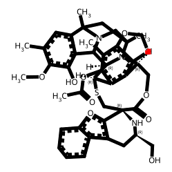 COc1c(C)cc2c(c1O)C1[C@@H]3[C@@H]4SC[C@]5(N[C@@H](CO)Cc6c5oc5ccccc65)C(=O)OC[C@@H](c5c6c(c(C)c(OC(C)=O)c54)OCO6)N3C3(C)CN1C2(C)C3